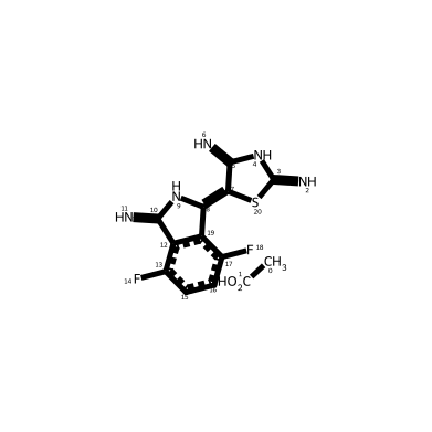 CC(=O)O.N=C1NC(=N)C(=C2NC(=N)c3c(F)ccc(F)c32)S1